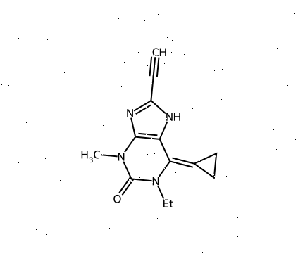 C#Cc1nc2c([nH]1)C(=C1CC1)N(CC)C(=O)N2C